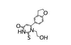 O=c1cc(-c2ccc3c(c2)CCO3)n(CCO)c(=S)[nH]1